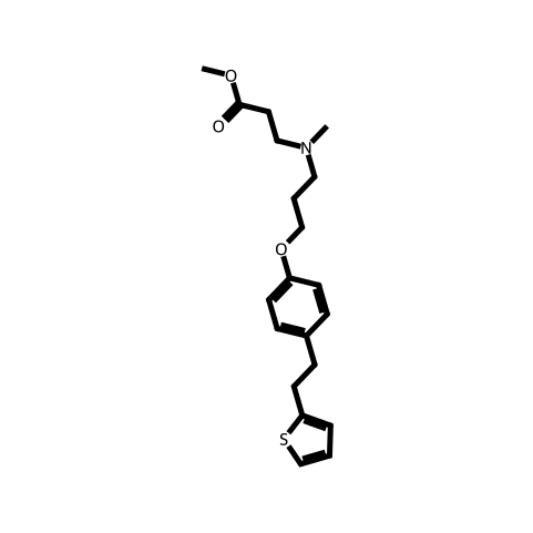 COC(=O)CCN(C)CCCOc1ccc(CCc2cccs2)cc1